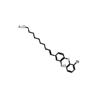 CC(=O)OCCCCCCCCC=Cc1ccc(Sc2ccccc2Br)c([N+](=O)[O-])c1